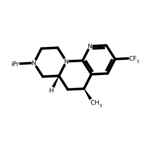 CC(C)N1CCN2c3ncc(C(F)(F)F)cc3[C@@H](C)C[C@@H]2C1